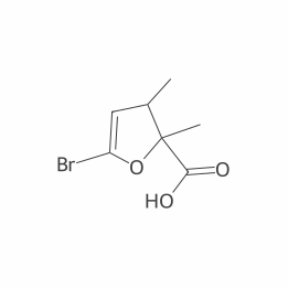 CC1C=C(Br)OC1(C)C(=O)O